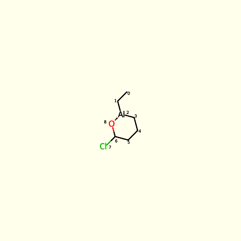 C[CH2][Al]1[CH2]CCC(Cl)[O]1